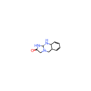 O=C1CN2CC3C=CC=CC3NC2N1